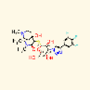 CCN(C)C(=O)C(S[C@@H]1O[C@H](CO)[C@H](O)[C@H](n2cc(-c3cc(F)c(F)c(F)c3)nn2)[C@H]1O)C1(O)CCN(C)CC1